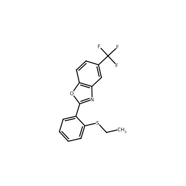 CCSc1ccccc1-c1nc2cc(C(F)(F)F)ccc2o1